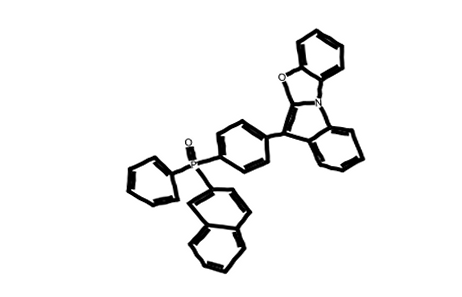 O=P(c1ccccc1)(c1ccc(-c2c3ccccc3n3c2oc2ccccc23)cc1)c1ccc2ccccc2c1